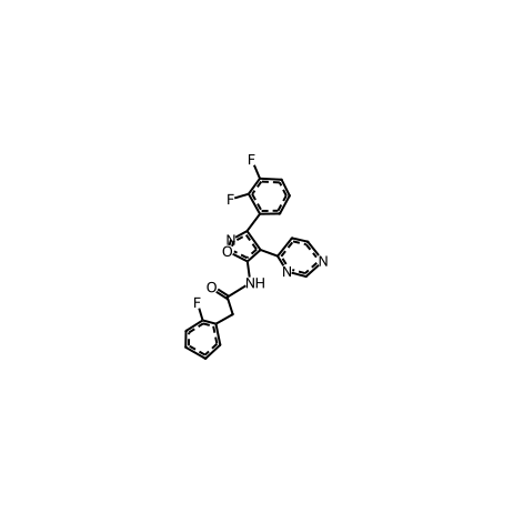 O=C(Cc1ccccc1F)Nc1onc(-c2cccc(F)c2F)c1-c1ccncn1